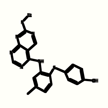 CCSc1ncc2c(Nc3cc(C)ccc3Sc3ccc(O)cc3)ncnc2n1